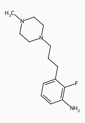 CN1CCN(CCCc2cccc(N)c2F)CC1